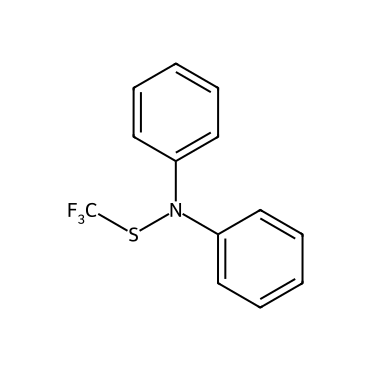 FC(F)(F)SN(c1ccccc1)c1ccccc1